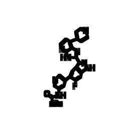 CCCCC(=O)Nc1cncc(-c2cc3c(-c4nc5c(-c6ccncc6)ccnc5[nH]4)n[nH]c3cc2F)c1